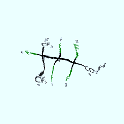 O=C(O)C(F)(F)C(F)(F)C(F)(C(F)(F)F)C(F)(F)F